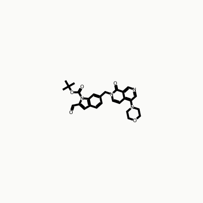 CC(C)(C)OC(=O)n1c(C=O)cc2ccc(Cn3ccc4c(N5CCOCC5)cncc4c3=O)cc21